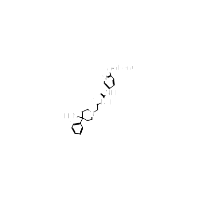 CCCCCOc1ccc(NC(=S)NC(=O)CN2CCC(N)(c3ccccc3)CC2)cn1